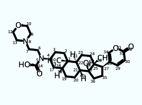 C[C@]12CC[C@H](N(CCN3CCOCC3)C(=O)O)C[C@H]1CC[C@@H]1[C@@H]2CC[C@]2(C)[C@@H](c3ccc(=O)oc3)CC[C@]12O